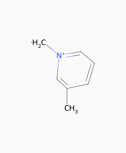 [CH2][n+]1cccc(C)c1